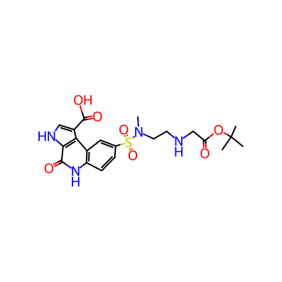 CN(CCNCC(=O)OC(C)(C)C)S(=O)(=O)c1ccc2[nH]c(=O)c3[nH]cc(C(=O)O)c3c2c1